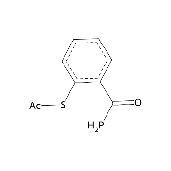 CC(=O)Sc1ccccc1C(=O)P